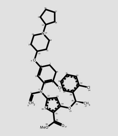 C=CN(C1=C(C)CCC(OC2CCN(C3CCCC3)CC2)=C1)c1cc(O[C@H](C)c2ccccc2Cl)c(C(=O)OC)s1